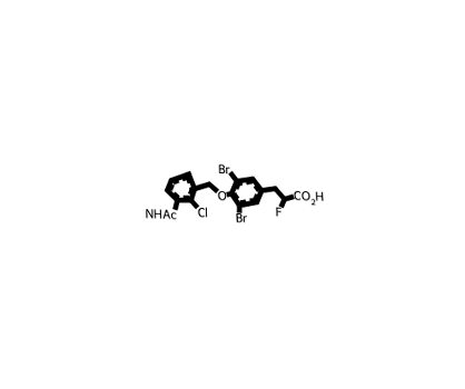 CC(=O)Nc1cccc(COc2c(Br)cc(CC(F)C(=O)O)cc2Br)c1Cl